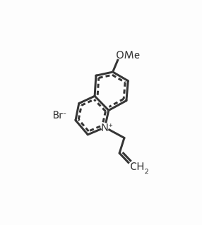 C=CC[n+]1cccc2cc(OC)ccc21.[Br-]